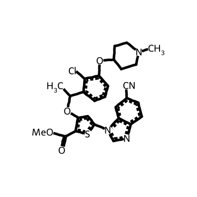 COC(=O)c1sc(-n2cnc3ccc(C#N)cc32)cc1OC(C)c1cccc(OC2CCN(C)CC2)c1Cl